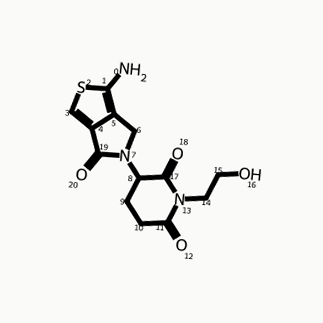 Nc1scc2c1CN(C1CCC(=O)N(CCO)C1=O)C2=O